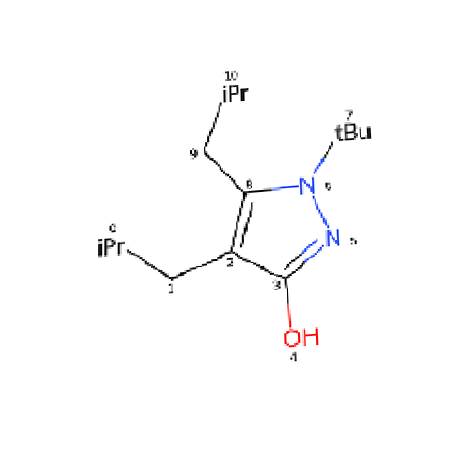 CC(C)Cc1c(O)nn(C(C)(C)C)c1CC(C)C